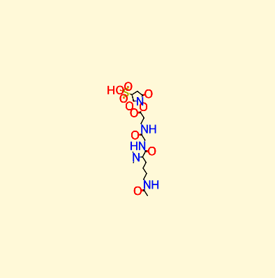 CC(=O)NCCCCC(C(=O)NCC(=O)NCCC(=O)ON1C(=O)CC(S(=O)(=O)O)C1=O)N(C)C